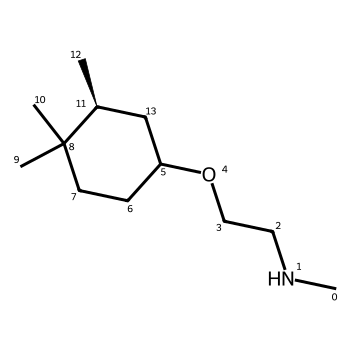 CNCCOC1CCC(C)(C)[C@@H](C)C1